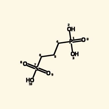 O=P(O)(O)CCCS(=O)(=O)O